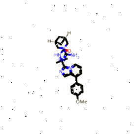 COc1ccc(-c2cccn3c(C(C)(C)NC(=O)[C@@H]4[C@@H]5C[C@H]4CN(C(=N)N)C5)ncc23)cc1